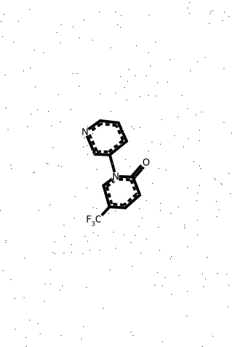 O=c1ccc(C(F)(F)F)cn1-c1cccnc1